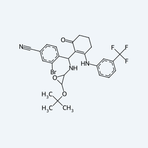 CC(C)(C)OC1OC1NC(C1=C(Nc2cccc(C(F)(F)F)c2)CCCC1=O)c1ccc(C#N)cc1Br